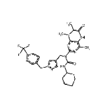 Cc1nc(N(Cc2cnn(Cc3ccc(C(F)(F)F)nc3)c2)C(=O)NC2CCCCC2)nc2c1NC(=O)C(C)N2C